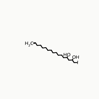 C=CCCCCCCCCCCCC(O)CC(O)CI